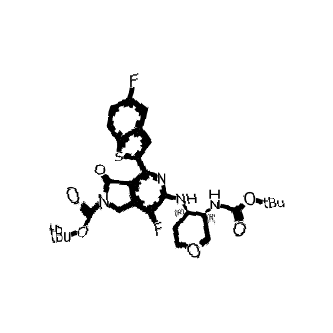 CC(C)(C)OC(=O)N[C@H]1COCC[C@H]1Nc1nc(-c2cc3cc(F)ccc3s2)c2c(c1F)CN(C(=O)OC(C)(C)C)C2=O